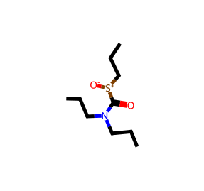 CCCN(CCC)C(=O)[S+]([O-])CCC